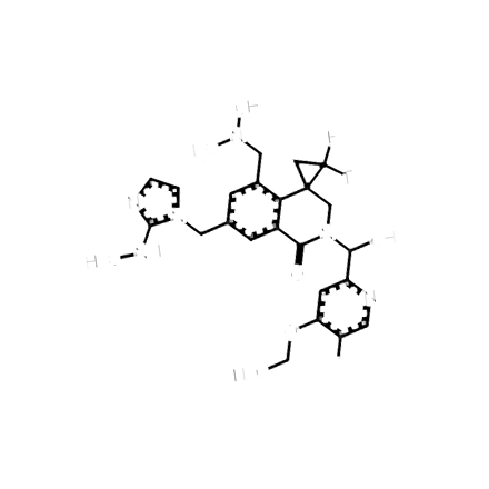 CCOc1cc(C(C)N2CC3(CC3(F)F)c3c(CN(C)C)cc(Cn4ccnc4NC)cc3C2=O)ncc1F